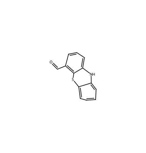 O=Cc1cccc2c1Sc1ccccc1N2